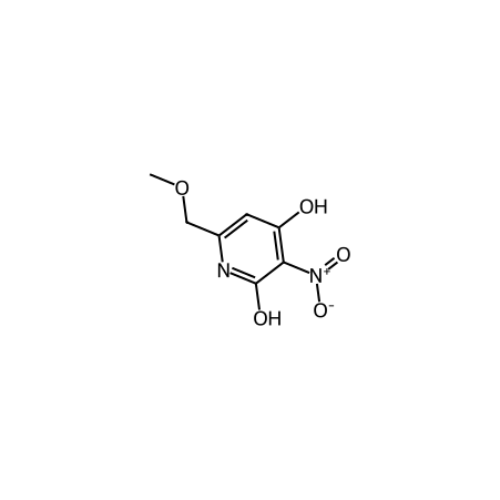 COCc1cc(O)c([N+](=O)[O-])c(O)n1